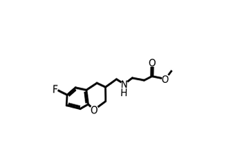 COC(=O)CCNCC1COc2ccc(F)cc2C1